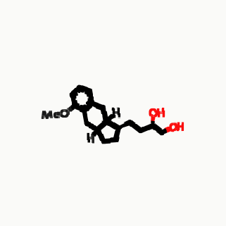 COc1cccc2c1C[C@H]1CC[C@H](CC[C@@H](O)CO)[C@H]1C2